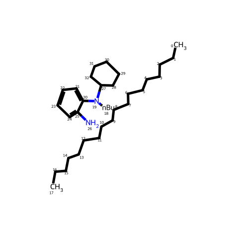 CCCCCCCCCCCCCCCCCC.CCCCN(c1ccccc1N)C1CCCCC1